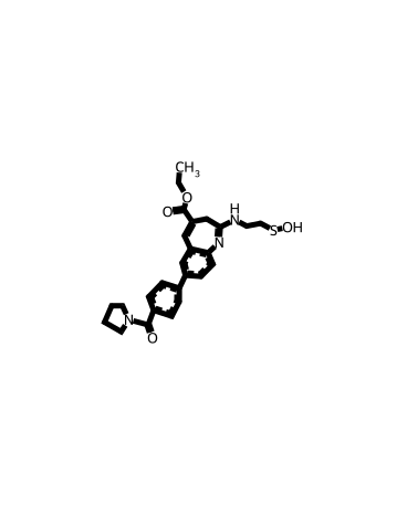 CCOC(=O)C1=Cc2cc(-c3ccc(C(=O)N4CCCC4)cc3)ccc2N=C(NCCSO)C1